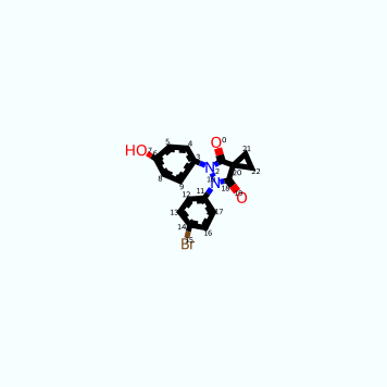 O=C1N(c2ccc(O)cc2)N(c2ccc(Br)cc2)C(=O)C12CC2